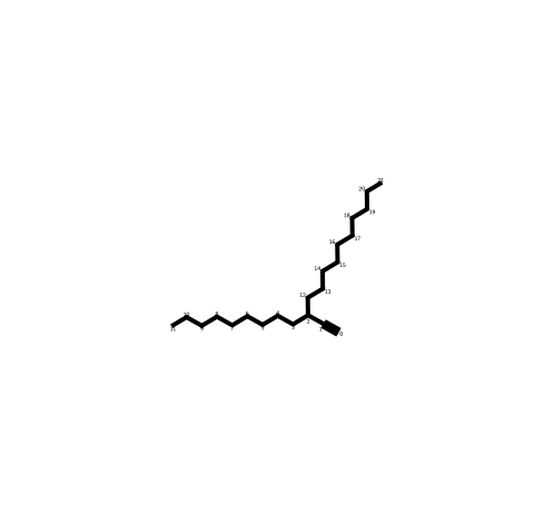 C#CC(CCCCCCCCC)CCCCCCCCCC